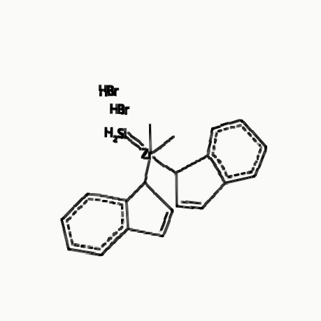 Br.Br.[CH3][Zr]([CH3])(=[SiH2])([CH]1C=Cc2ccccc21)[CH]1C=Cc2ccccc21